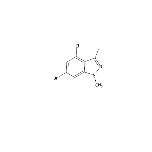 Cn1nc(I)c2c(Cl)cc(Br)cc21